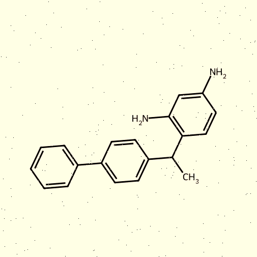 CC(c1ccc(-c2ccccc2)cc1)c1ccc(N)cc1N